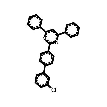 Clc1cccc(-c2ccc(-c3nc(-c4ccccc4)cc(-c4ccccc4)n3)cc2)c1